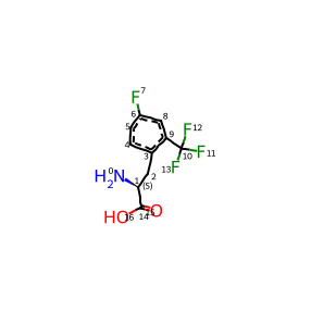 N[C@@H](Cc1ccc(F)cc1C(F)(F)F)C(=O)O